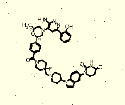 C[C@H]1CN(c2cc(-c3ccccc3O)nnc2N)C[C@@H](c2ccc(C(=O)N3CCC(F)(CN4CCC(n5ccc6cc(N7CCC(=O)NC7=O)ccc65)CC4)CC3)cc2)O1